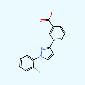 O=C(O)c1cccc(-c2ccn(-c3ccccc3F)n2)c1